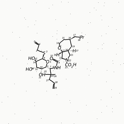 C=CCS[C@H]1O[C@H](C(NC(=O)[C@@H]2[C@@H]3OCC[C@@H](CC(C)C)C[C@H]3CN2C(=O)O)C(C)(C)CC=C)[C@H](O)[C@H](O)[C@H]1O